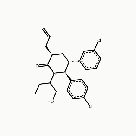 C=CC[C@H]1C[C@H](c2cccc(Cl)c2)[C@@H](c2ccc(Cl)cc2)N(C(CC)CO)C1=O